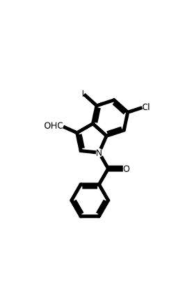 O=Cc1cn(C(=O)c2ccccc2)c2cc(Cl)cc(I)c12